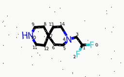 FC(F)CN1CCC2(CCNCC2)CC1